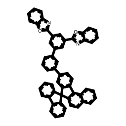 c1cc(-c2cc(-c3nc4ccccc4o3)cc(-c3nc4ccccc4o3)c2)cc(-c2ccc3c(c2)C2(c4ccccc4-c4ccccc42)c2ccc4ccccc4c2-3)c1